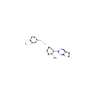 O=C(O)c1c(Cl)cc(NCCc2ccc3c(c2)OCO3)cc1-c1ncc2ccsc2n1